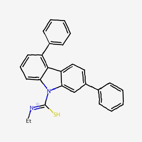 CC/N=C(\S)n1c2cc(-c3ccccc3)ccc2c2c(-c3ccccc3)cccc21